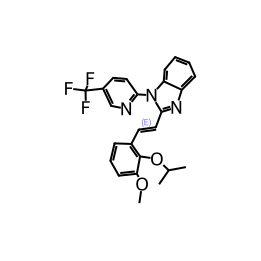 COc1cccc(/C=C/c2nc3ccccc3n2-c2ccc(C(F)(F)F)cn2)c1OC(C)C